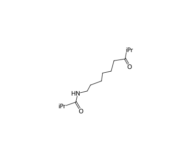 CC(C)C(=O)CCCCCCNC(=O)C(C)C